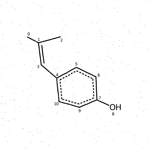 CC(C)=Cc1ccc(O)cc1